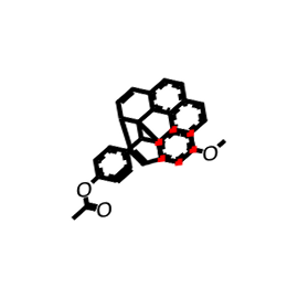 COc1ccc(C(c2c#cc(OC(C)=O)cc2)C23c4c5ccc6ccc7ccc(c2c7c46)C=CC3C=C5)cc1